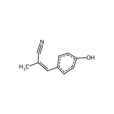 CC(C#N)=Cc1ccc(O)cc1